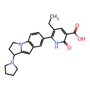 CCc1cc(C(=O)O)c(=O)[nH]c1-c1ccc2c(c1)cc1n2CCC1N1CCCC1